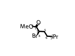 COC(=O)C(Br)CCC(C)C